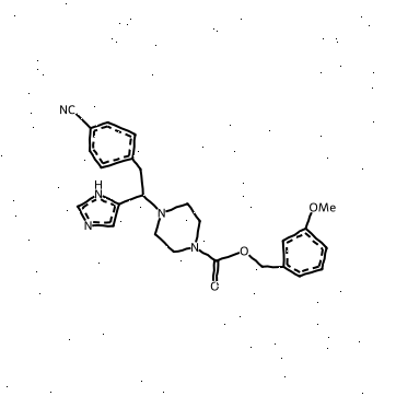 COc1cccc(COC(=O)N2CCN(C(Cc3ccc(C#N)cc3)c3cnc[nH]3)CC2)c1